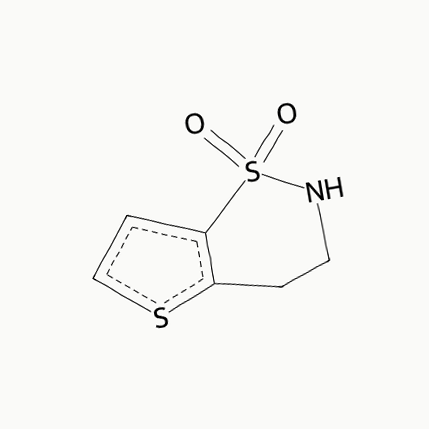 O=S1(=O)NCCc2sccc21